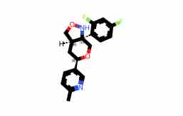 Cc1ccc([C@H]2C[C@H]3CON[C@@]3(c3ccc(F)cc3F)CO2)cn1